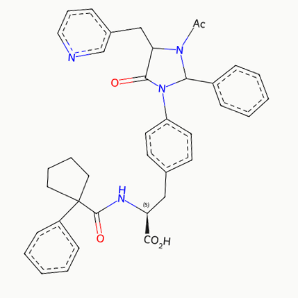 CC(=O)N1C(Cc2cccnc2)C(=O)N(c2ccc(C[C@H](NC(=O)C3(c4ccccc4)CCCC3)C(=O)O)cc2)C1c1ccccc1